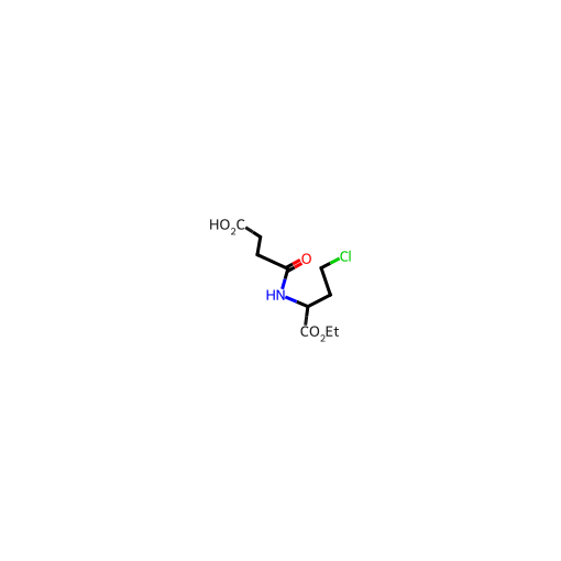 CCOC(=O)C(CCCl)NC(=O)CCC(=O)O